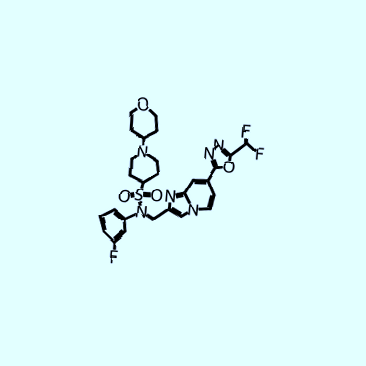 O=S(=O)(C1CCN(C2CCOCC2)CC1)N(Cc1cn2ccc(-c3nnc(C(F)F)o3)cc2n1)c1cccc(F)c1